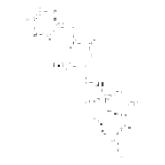 O=C(NC(CNS(=O)(=O)c1ccc(Cl)cc1Cl)C(=O)O)OCc1ccccc1